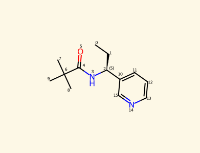 CC[C@H](NC(=O)C(C)(C)C)c1cccnc1